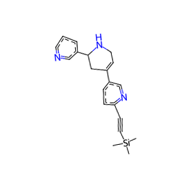 C[Si](C)(C)C#Cc1ccc(C2=CCNC(c3cccnc3)C2)cn1